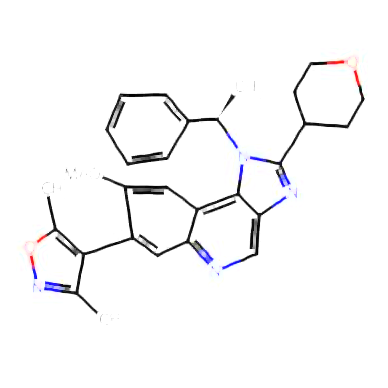 COc1cc2c(cc1-c1c(C)noc1C)ncc1nc(C3CCOCC3)n([C@H](C)c3ccccc3)c12